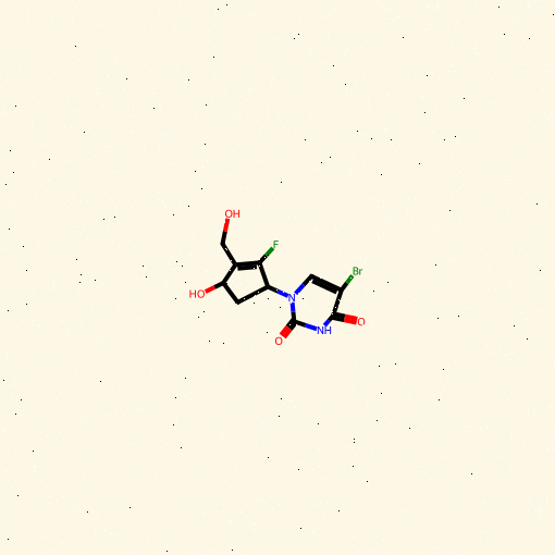 O=c1[nH]c(=O)n(C2CC(O)C(CO)=C2F)cc1Br